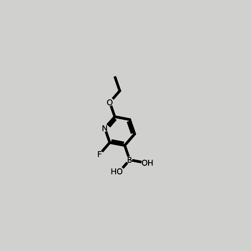 CCOc1ccc(B(O)O)c(F)n1